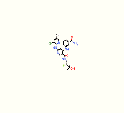 CC(C)(O)C(F)CNC(=O)c1cnc(Nc2ncc(C#N)cc2Cl)cc1Nc1cccc(C(N)=O)c1